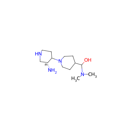 CN(C)C(O)C1CCN(C2CCNC[C@H]2N)CC1